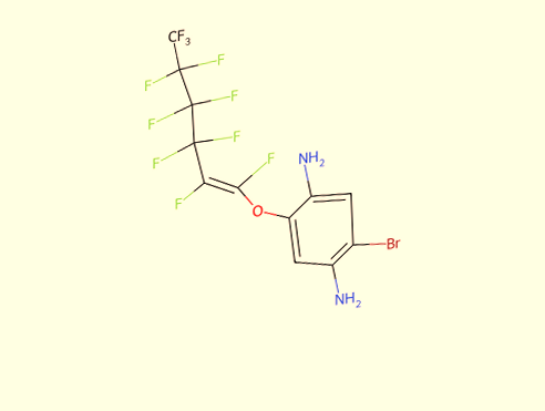 Nc1cc(OC(F)=C(F)C(F)(F)C(F)(F)C(F)(F)C(F)(F)F)c(N)cc1Br